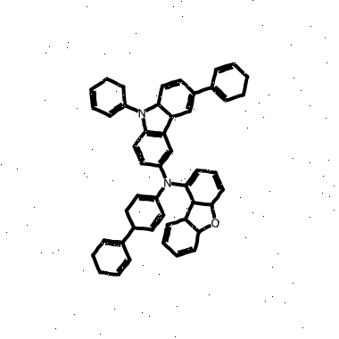 C1=CCCC(N2c3ccc(N(C4=CCC(C5=CCCC=C5)C=C4)C4=CC=CC5OC6C=CC=CC6C45)cc3C3C=C(C4=CCCC=C4)C=CC32)=C1